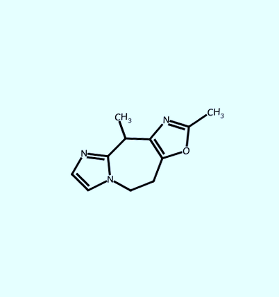 Cc1nc2c(o1)CCn1ccnc1C2C